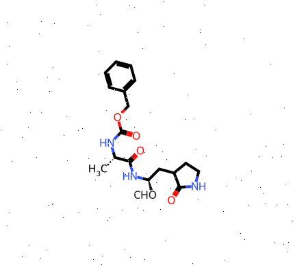 C[C@H](NC(=O)OCc1ccccc1)C(=O)N[C@H](C=O)CC1CCNC1=O